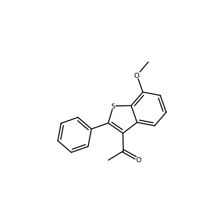 COc1cccc2c(C(C)=O)c(-c3ccccc3)sc12